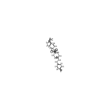 CC(=O)N1CCc2cc(S(=O)(=O)N3CCN(CCc4ccc(F)cc4)CC3)ccc21